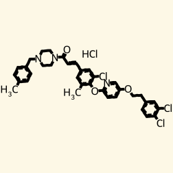 Cc1ccc(CN2CCN(C(=O)/C=C/c3cc(C)c(Oc4ccc(OCCc5ccc(Cl)c(Cl)c5)cn4)c(Cl)c3)CC2)cc1.Cl